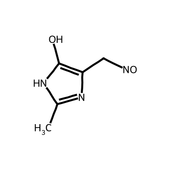 Cc1nc(CN=O)c(O)[nH]1